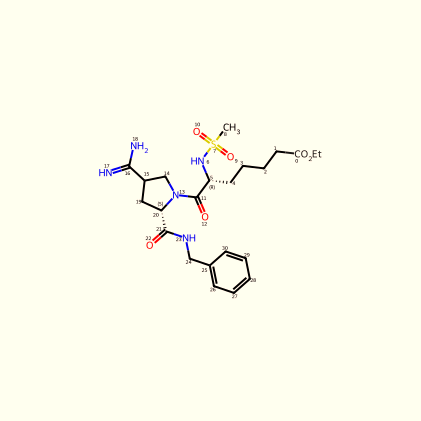 CCOC(=O)CCCC[C@@H](NS(C)(=O)=O)C(=O)N1CC(C(=N)N)C[C@H]1C(=O)NCc1ccccc1